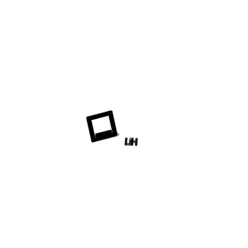 [C]1=CCC1.[LiH]